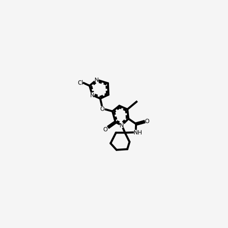 Cc1cc(Oc2ccnc(Cl)n2)c(=O)n2c1C(=O)NC21CCCCC1